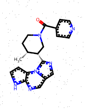 C[C@@H]1CCN(C(=O)c2ccncc2)C[C@@H]1c1ncc2cnc3[nH]ccc3n12